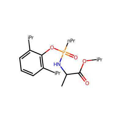 CCCP(=O)(NC(C)C(=O)OC(C)C)Oc1c(C(C)C)cccc1C(C)C